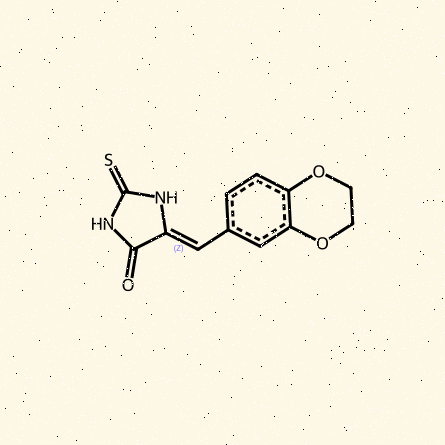 O=C1NC(=S)N/C1=C\c1ccc2c(c1)OCCO2